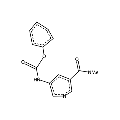 CNC(=O)c1cncc(NC(=O)Oc2ccccc2)c1